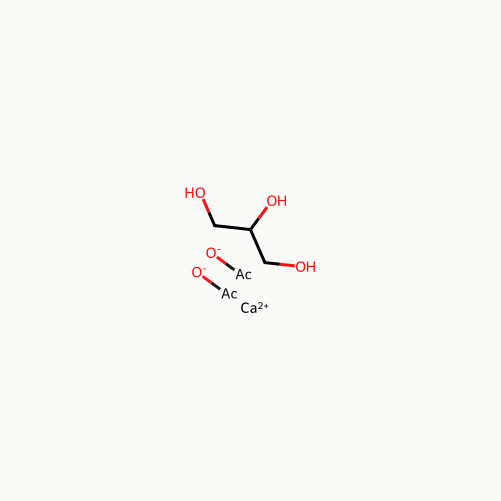 CC(=O)[O-].CC(=O)[O-].OCC(O)CO.[Ca+2]